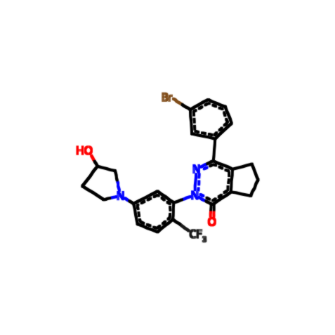 O=c1c2c(c(-c3cccc(Br)c3)nn1-c1cc(N3CCC(O)C3)ccc1C(F)(F)F)CCC2